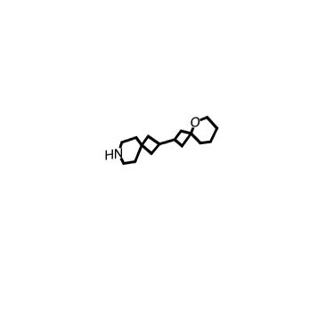 C1CCC2(CC(C3CC4(CCNCC4)C3)C2)OC1